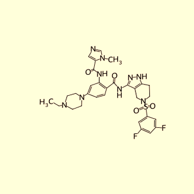 CCN1CCN(c2ccc(C(=O)Nc3n[nH]c4c3CN(S(=O)(=O)c3cc(F)cc(F)c3)CC4)c(NC(=O)c3cncn3C)c2)CC1